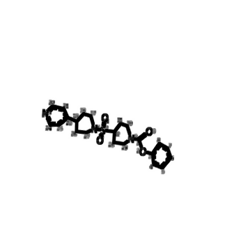 O=C(Oc1ccccc1)N1CCC(S(=O)(=O)N2CCC(c3ccncc3)CC2)CC1